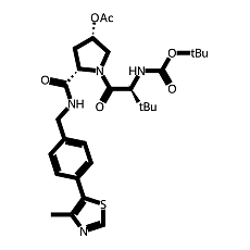 CC(=O)O[C@H]1C[C@@H](C(=O)NCc2ccc(-c3scnc3C)cc2)N(C(=O)[C@@H](NC(=O)OC(C)(C)C)C(C)(C)C)C1